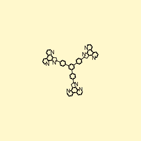 c1cnc2c3c(c4ncccc4c2c1)N=C(c1ccc(-c2cc(-c4ccc(C5=Nc6c(c7ncccc7c7cccnc67)C5)cc4)cc(-c4ccc(C5=Nc6c(c7ncccc7c7cccnc67)C5)cc4)c2)cc1)C3